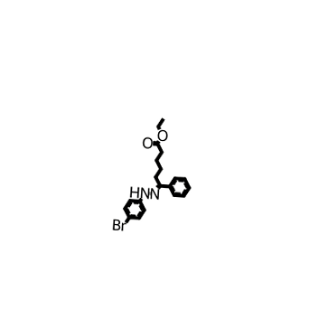 CCOC(=O)CCCC/C(=N\Nc1ccc(Br)cc1)c1ccccc1